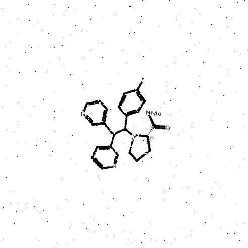 CNC(=O)[C@@H]1CCCN1C(c1ccc(F)cc1)C(c1cccnc1)c1cccnc1